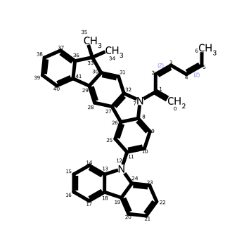 C=C(/C=C\C=C/C)n1c2ccc(-n3c4ccccc4c4ccccc43)cc2c2cc3c(cc21)C(C)(C)c1ccccc1-3